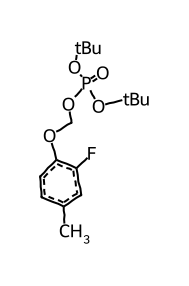 Cc1ccc(OCOP(=O)(OC(C)(C)C)OC(C)(C)C)c(F)c1